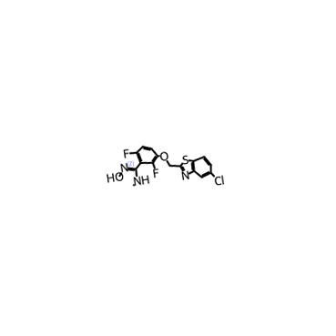 CN/C(=N\O)c1c(F)ccc(OCc2nc3cc(Cl)ccc3s2)c1F